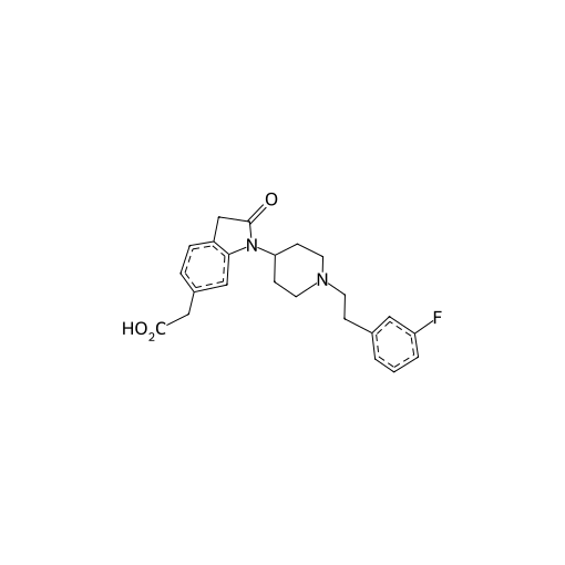 O=C(O)Cc1ccc2c(c1)N(C1CCN(CCc3cccc(F)c3)CC1)C(=O)C2